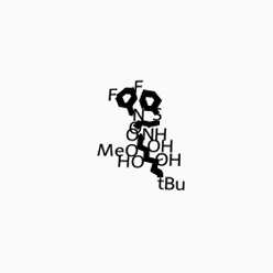 CO[C@@H](C(=O)N[C@H]1CSc2ccccc2N(Cc2cc(F)cc(F)c2)C1=O)[C@H](O)[C@@H](O)[C@H](O)/C=C/C(C)(C)C